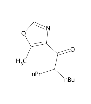 CCCCC(CCC)C(=O)c1ncoc1C